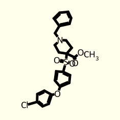 COC(=O)C1(S(=O)(=O)c2ccc(Oc3ccc(Cl)cc3)cc2)CCN(Cc2ccccc2)CC1